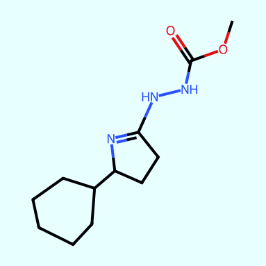 COC(=O)NNC1=NC(C2CCCCC2)CC1